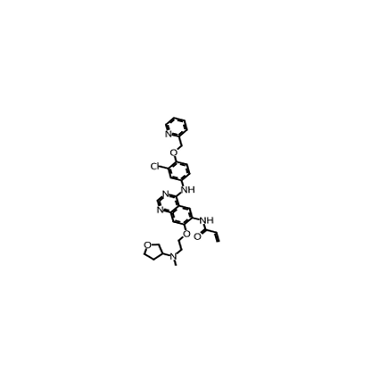 C=CC(=O)Nc1cc2c(Nc3ccc(OCc4ccccn4)c(Cl)c3)ncnc2cc1OCCN(C)C1CCOC1